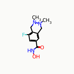 CN1Cc2cc(C(=O)NO)cc(F)c2CN1C